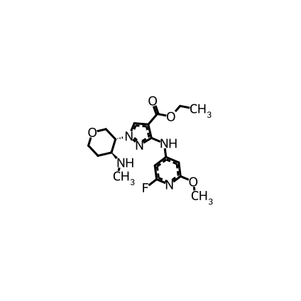 CCOC(=O)c1cn([C@H]2COCC[C@@H]2NC)nc1Nc1cc(F)nc(OC)c1